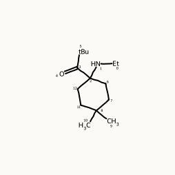 CCNC1(C(=O)C(C)(C)C)CCC(C)(C)CC1